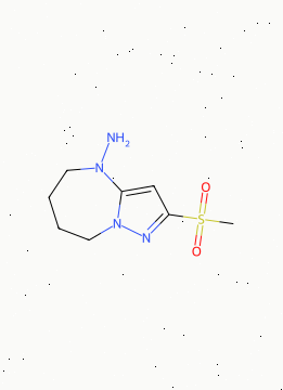 CS(=O)(=O)c1cc2n(n1)CCCCN2N